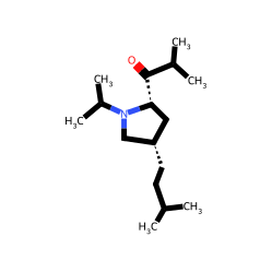 CC(C)CC[C@H]1C[C@@H](C(=O)C(C)C)N(C(C)C)C1